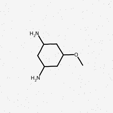 COC1CC(N)CC(N)C1